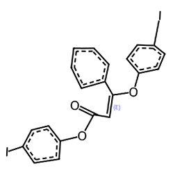 O=C(/C=C(/Oc1ccc(I)cc1)c1ccccc1)Oc1ccc(I)cc1